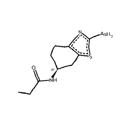 CCC(=O)N[C@H]1CCc2nc([AsH2])sc2C1